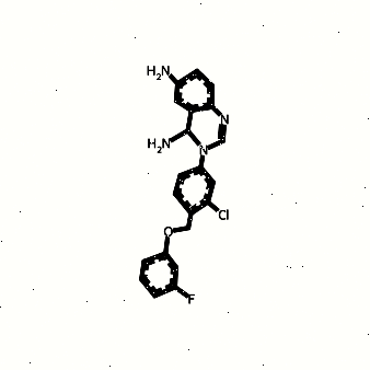 Nc1ccc2c(c1)C(N)N(c1ccc(COc3cccc(F)c3)c(Cl)c1)C=N2